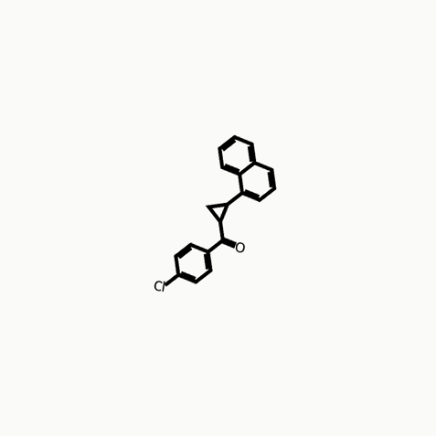 O=C(c1ccc(Cl)cc1)C1CC1c1cccc2ccccc12